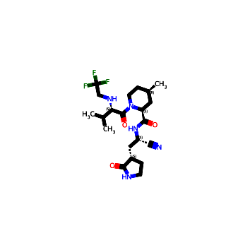 CC(C)[C@H](NCC(F)(F)F)C(=O)N1CC[C@@H](C)C[C@H]1C(=O)N[C@H](C#N)C[C@@H]1CCNC1=O